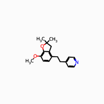 COc1ccc(CCc2ccncc2)c2c1OC(C)(C)C2